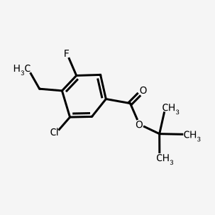 CCc1c(F)cc(C(=O)OC(C)(C)C)cc1Cl